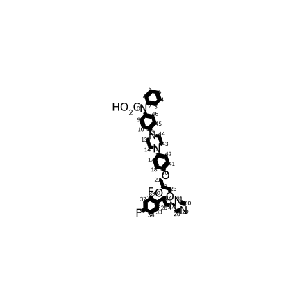 O=C(O)N(c1ccccc1)c1ccc(N2CCN(c3ccc(OCC4COC(Cn5cncn5)(c5ccc(F)cc5F)O4)cc3)CC2)cc1